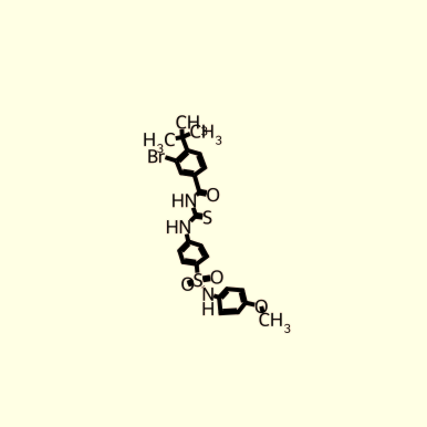 COc1ccc(NS(=O)(=O)c2ccc(NC(=S)NC(=O)c3ccc(C(C)(C)C)c(Br)c3)cc2)cc1